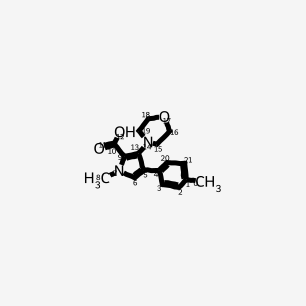 Cc1ccc(-c2cn(C)c(C(=O)O)c2N2CCOCC2)cc1